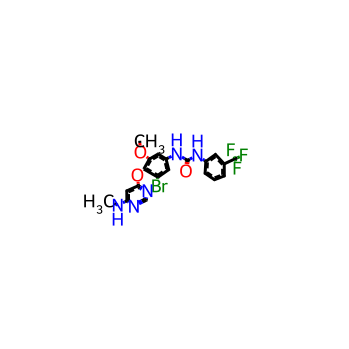 CNc1cc(Oc2c(Br)cc(NC(=O)Nc3cccc(C(F)(F)F)c3)cc2OC)ncn1